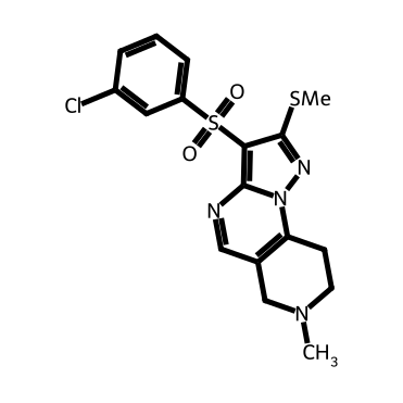 CSc1nn2c3c(cnc2c1S(=O)(=O)c1cccc(Cl)c1)CN(C)CC3